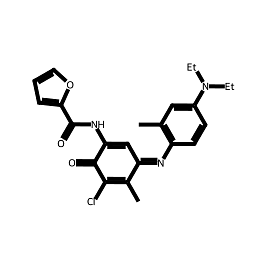 CCN(CC)c1ccc(N=C2C=C(NC(=O)c3ccco3)C(=O)C(Cl)=C2C)c(C)c1